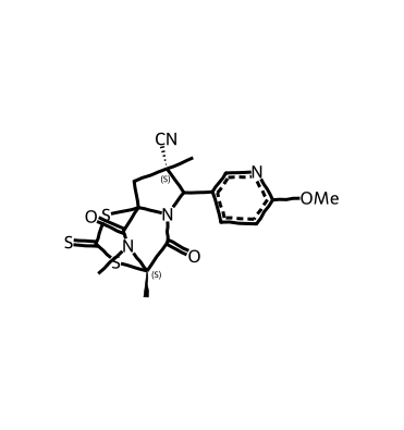 COc1ccc(C2N3C(=O)[C@]4(C)SC(=S)SC3(C[C@]2(C)C#N)C(=O)N4C)cn1